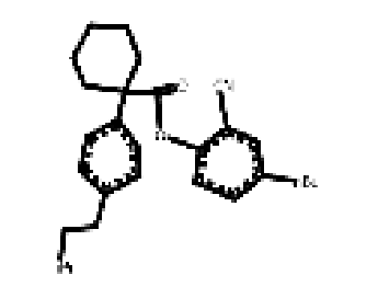 CCCCc1ccc(OC(=O)C2(c3ccc(CCC(C)C)cc3)CCCCC2)c(C#N)c1